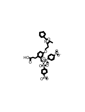 Cc1oc(-c2ccccc2)nc1CCOc1ccc(CCC(=O)O)c(CN(S(=O)(=O)c2ccc([N+](=O)[O-])cc2)S(=O)(=O)c2ccc([N+](=O)[O-])cc2)c1